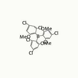 COc1cc(Cl)cc(Cl)c1B(c1c(Cl)cc(Cl)cc1OC)c1c(Cl)cc(Cl)cc1OC